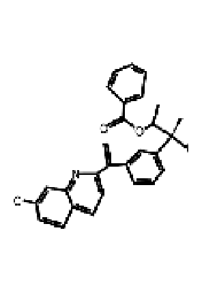 C=C(c1cccc([C@@](C)(I)C(C)OC(=O)c2ccccc2)c1)c1ccc2ccc(Cl)cc2n1